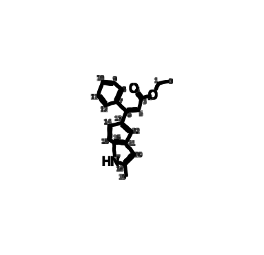 CCOC(=O)C=C(c1ccccc1)c1ccc2[nH]c(C)cc2c1